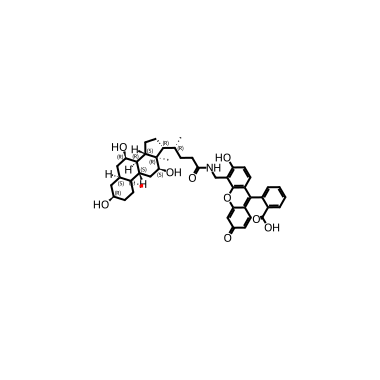 C[C@H](CCC(=O)NCc1c(O)ccc2c(-c3ccccc3C(=O)O)c3ccc(=O)cc-3oc12)[C@H]1CC[C@H]2[C@@H]3[C@H](O)C[C@@H]4C[C@H](O)CC[C@]4(C)[C@H]3C[C@H](O)[C@]12C